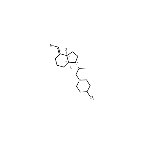 CC(CN1CCC(C(F)(F)F)CC1)[C@H]1CC[C@@H]2/C(=C/Br)CCC[C@@]21C